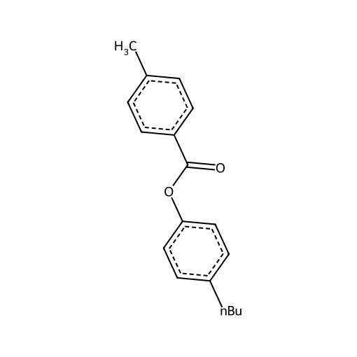 CCCCc1ccc(OC(=O)c2ccc(C)cc2)cc1